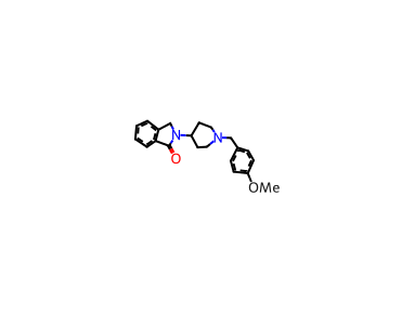 COc1ccc(CN2CCC(N3Cc4ccccc4C3=O)CC2)cc1